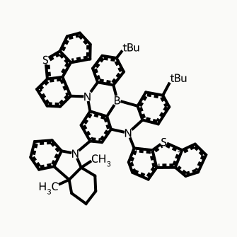 CC(C)(C)c1ccc2c(c1)B1c3cc(C(C)(C)C)ccc3N(c3cccc4sc5ccccc5c34)c3cc(N4c5ccccc5C5(C)CCCCC45C)cc(c31)N2c1cccc2c1sc1ccccc12